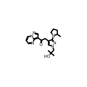 CC1CCCN1c1nn(CC(C)(C)O)cc1CC(=O)c1cnn2cccnc12